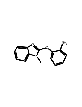 Cn1c(Oc2ccccc2N)nc2ccccc21